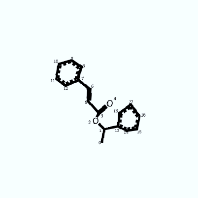 CC(OC(=O)/C=C/c1ccccc1)c1ccccc1